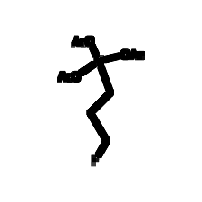 CC(=O)O[Si](CCCF)(OC(C)=O)OC(C)=O